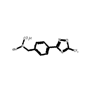 CC(C)(C)N(Cc1ccc(-c2noc(C(F)(F)F)n2)cc1)C(=O)O